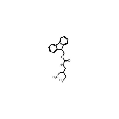 CCC(CNC(=O)OCC1c2ccccc2-c2ccccc21)OC